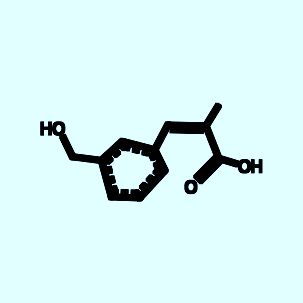 CC(=Cc1cccc(CO)c1)C(=O)O